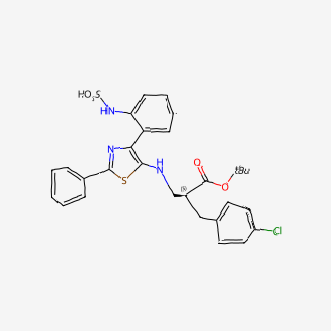 CC(C)(C)OC(=O)[C@H](CNc1sc(-c2ccccc2)nc1-c1c[c]ccc1NS(=O)(=O)O)Cc1ccc(Cl)cc1